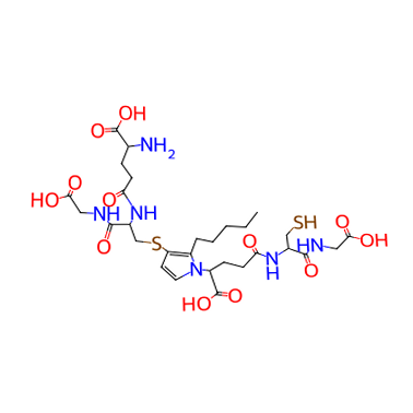 CCCCCc1c(SCC(NC(=O)CCC(N)C(=O)O)C(=O)NCC(=O)O)ccn1C(CCC(=O)NC(CS)C(=O)NCC(=O)O)C(=O)O